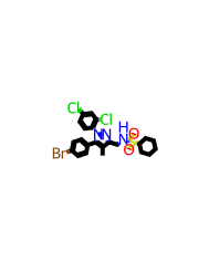 Cc1c(CNS(=O)(=O)C2CCCCC2)nn(-c2ccc(Cl)cc2Cl)c1-c1ccc(Br)cc1